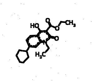 CCOC(=O)c1c(O)c2ccc(C3CCCCC3)cc2n(CC)c1=O